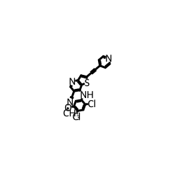 COc1cc(Nc2c(C#N)cnc3cc(C#Cc4ccncc4)sc23)c(Cl)cc1Cl